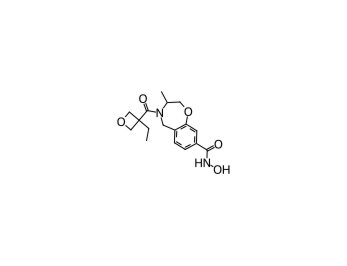 CCC1(C(=O)N2Cc3ccc(C(=O)NO)cc3OCC2C)COC1